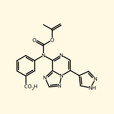 C=C(C)OC(=O)N(c1cccc(C(=O)O)c1)c1ncc(-c2cn[nH]c2)n2ncnc12